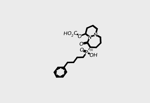 O=C(O)OC1CCCN2CCC[C@H](P(=O)(O)CCCCc3ccccc3)C(=O)N12